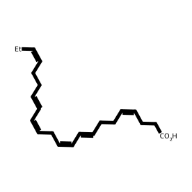 CC/C=C\CC/C=C/C=C\C/C=C\C=C\CC/C=C\CCC(=O)O